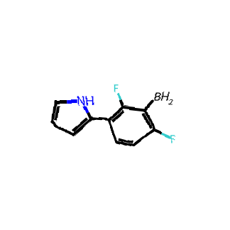 Bc1c(F)ccc(-c2ccc[nH]2)c1F